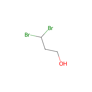 OCCC(Br)Br